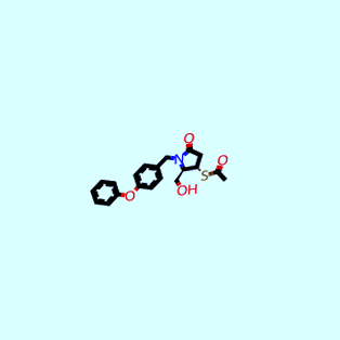 CC(=O)S[C@H]1CC(=O)N(Cc2ccc(Oc3ccccc3)cc2)[C@@H]1CO